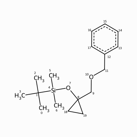 CC(C)(C)[Si](C)(C)OC1(COCc2ccccc2)CC1